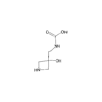 O=C(O)NCC1(O)CNC1